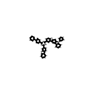 c1ccc(-c2ccc(-c3nc(-c4ccc5c(c4)sc4ccccc45)nc(-c4ccc5oc6cc7c(cc6c5c4)c4ccccc4n7-c4ccccc4)n3)cc2)cc1